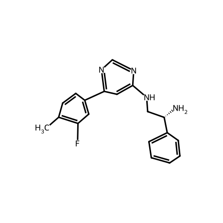 Cc1ccc(-c2cc(NC[C@H](N)c3ccccc3)ncn2)cc1F